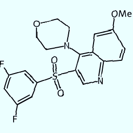 COc1ccc2ncc(S(=O)(=O)c3cc(F)cc(F)c3)c(N3CCOCC3)c2c1